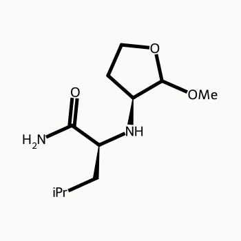 COC1OCC[C@@H]1N[C@@H](CC(C)C)C(N)=O